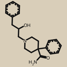 NC(=O)C1(c2ccccc2)CCN(CC(O)Cc2ccccc2)CC1